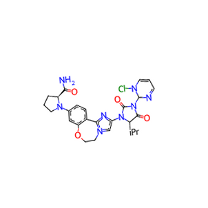 CC(C)C1C(=O)N(C2N=CC=CN2Cl)C(=O)N1c1cn2c(n1)-c1ccc(N3CCC[C@H]3C(N)=O)cc1OCC2